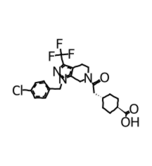 O=C(C[C@H]1CC[C@H](C(=O)O)CC1)N1CCc2c(C(F)(F)F)nn(Cc3ccc(Cl)cc3)c2C1